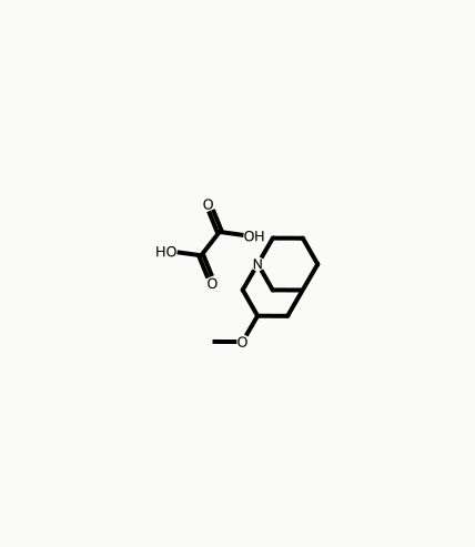 COC1CC2CCCN(C2)C1.O=C(O)C(=O)O